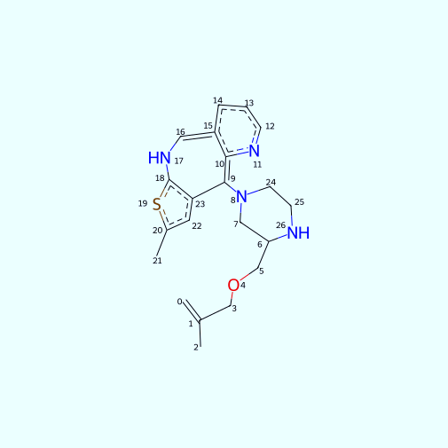 C=C(C)COCC1CN(C2=c3ncccc3=CNc3sc(C)cc32)CCN1